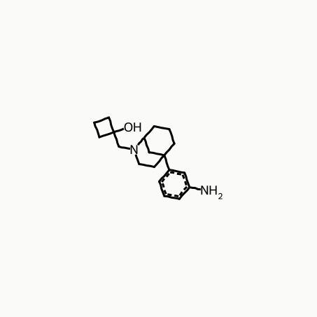 Nc1cccc(C23CCCC(C2)N(CC2(O)CCC2)CC3)c1